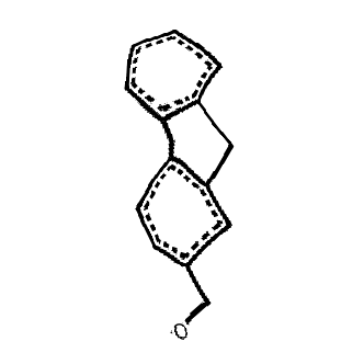 [O]Cc1ccc2c(c1)Cc1ccccc1-2